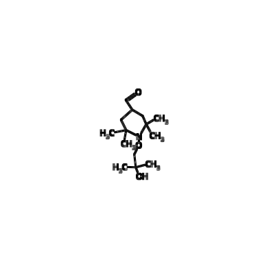 CC(C)(O)CON1C(C)(C)CC(C=O)CC1(C)C